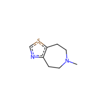 CN1CCc2ncsc2CC1